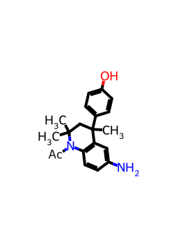 CC(=O)N1c2ccc(N)cc2C(C)(c2ccc(O)cc2)CC1(C)C